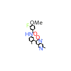 COc1ccc(C(=O)Nc2ccc(C)c(-c3cc4cnc(C)cc4n(C)c3=O)c2)cc1F